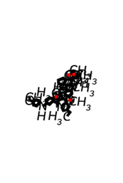 CCC1=C[C@H]2CN(C1)Cc1c([nH]c3ccc(Nc4ccc(OC)cc4)cc13)[C@@](C(=O)OC)(c1cc3c(cc1OC)N(C)[C@H]1[C@@](O)(C(=O)OC)[C@H](OC(C)=O)[C@]4(CC)C=CCN5CC[C@]31[C@@H]54)C2